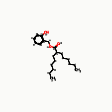 CCCCCCC(CCCCCC)C(=O)OCc1ccccc1O